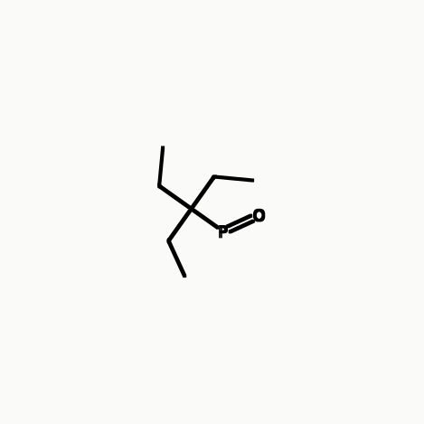 CCC(CC)(CC)P=O